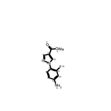 COC(=O)c1cnn(-c2ccc(N)cc2F)c1